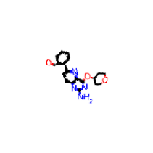 Nc1nc(OC2CCOCC2)c2nc(-c3ccccc3C=O)ccc2n1